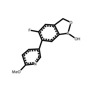 COc1ccc(-c2cc3c(cc2F)COB3O)cn1